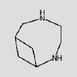 C1CNC2CC(CN1)C2